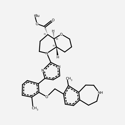 Cc1cccc(-c2ccnc(N3CC[C@H](C(=O)OC(C)(C)C)[C@H]4OCCC[C@@H]43)n2)c1OCc1ccc2c(c1C)CCNCC2